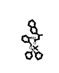 C/C(=C/C(=O)Nc1ccccc1CO[Si](c1ccccc1)(c1ccccc1)C(C)(C)C)c1ccc2ccccc2c1